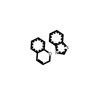 C1=Cc2ccccc2OC1.c1ccc2scnc2c1